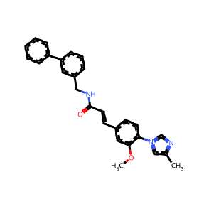 COc1cc(C=CC(=O)NCc2cccc(-c3ccccc3)c2)ccc1-n1cnc(C)c1